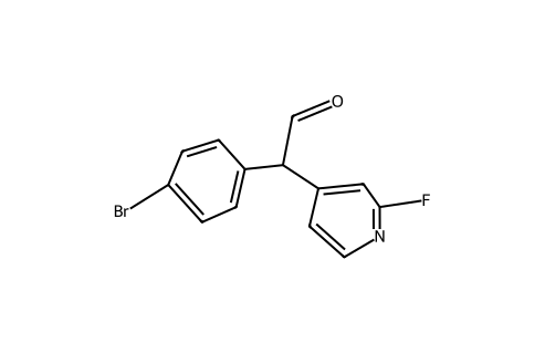 O=CC(c1ccc(Br)cc1)c1ccnc(F)c1